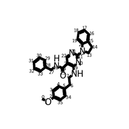 COc1ccc(CCNc2nc(N3CCc4ccccc43)ncc2C(=O)NCc2ccccc2)cc1